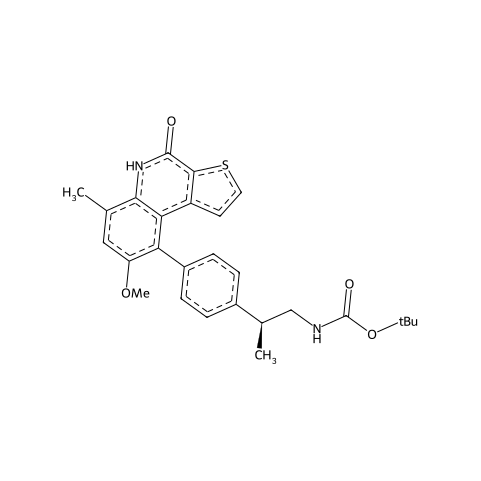 COc1cc(C)c2[nH]c(=O)c3sccc3c2c1-c1ccc([C@H](C)CNC(=O)OC(C)(C)C)cc1